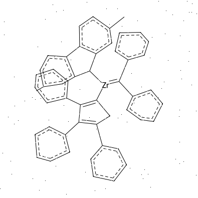 Cc1ccc2c(c1)[CH]([Zr]([C]1=C(c3ccccc3)C(c3ccccc3)=C(c3ccccc3)C1)=[C](c1ccccc1)c1ccccc1)c1cc(C)ccc1-2